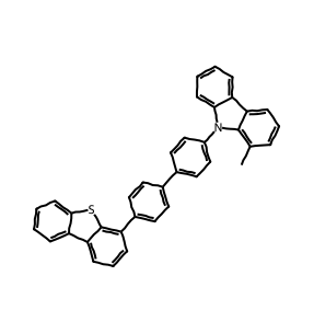 Cc1cccc2c3ccccc3n(-c3ccc(-c4ccc(-c5cccc6c5sc5ccccc56)cc4)cc3)c12